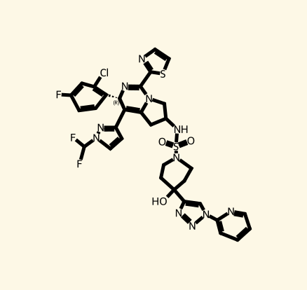 O=S(=O)(NC1CC2=C(c3ccn(C(F)F)n3)[C@H](c3ccc(F)cc3Cl)N=C(c3nccs3)N2C1)N1CCC(O)(c2cn(-c3ccccn3)nn2)CC1